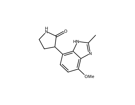 COc1ccc(C2CCNC2=O)c2[nH]c(C)nc12